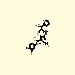 Cn1cc2c(c1C(=O)Nc1ccc(F)c(F)c1)OCC(C(O)c1ccccn1)NS2